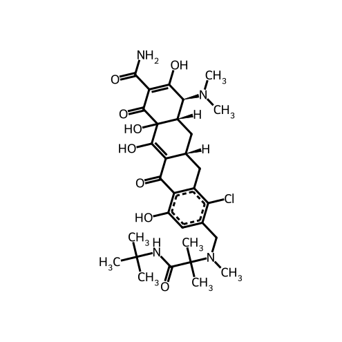 CN(C)[C@@H]1C(O)=C(C(N)=O)C(=O)C2(O)C(O)=C3C(=O)c4c(O)cc(CN(C)C(C)(C)C(=O)NC(C)(C)C)c(Cl)c4C[C@H]3C[C@@H]12